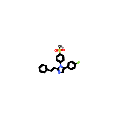 CS(=O)(=O)c1ccc(-n2c(-c3ccc(F)cc3)cnc2C=Cc2ccccc2)cc1